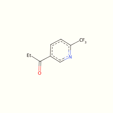 CCC(=O)c1ccc(C(F)(F)F)nc1